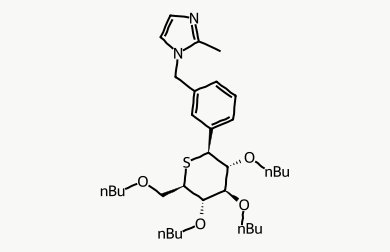 CCCCOC[C@H]1S[C@@H](c2cccc(Cn3ccnc3C)c2)[C@H](OCCCC)[C@@H](OCCCC)[C@@H]1OCCCC